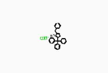 [Cl-].[Cl-].[Cl-].[Ti+3][C]1=C(C(c2ccccc2)(c2ccccc2)c2ccccc2)CC=C1Cc1ccccc1